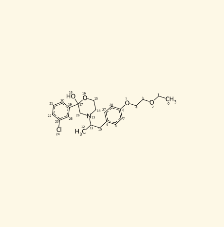 CCOCCOc1ccc(CC(C)N2CCOC(O)(c3cccc(Cl)c3)C2)cc1